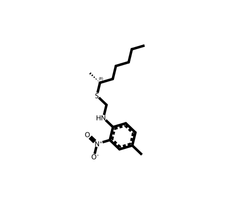 CCCCC[C@@H](C)SCNc1ccc(C)cc1[N+](=O)[O-]